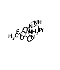 CC(C)C[C@H]1CN(c2ccc(C(C)(F)F)c(C(=O)c3cccnc3N)n2)CCN1